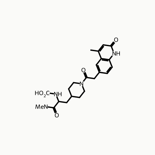 CNC(=O)C(CC1CCN(C(=O)Cc2ccc3[nH]c(=O)cc(C)c3c2)CC1)NC(=O)O